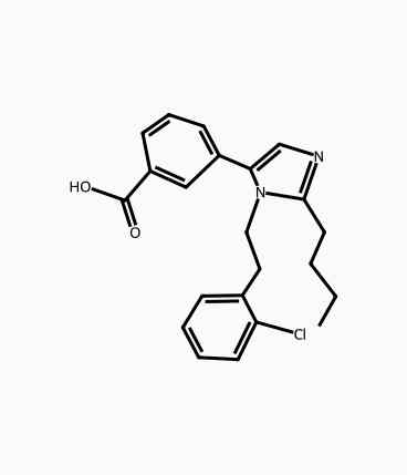 CCCCc1ncc(-c2cccc(C(=O)O)c2)n1CCc1ccccc1Cl